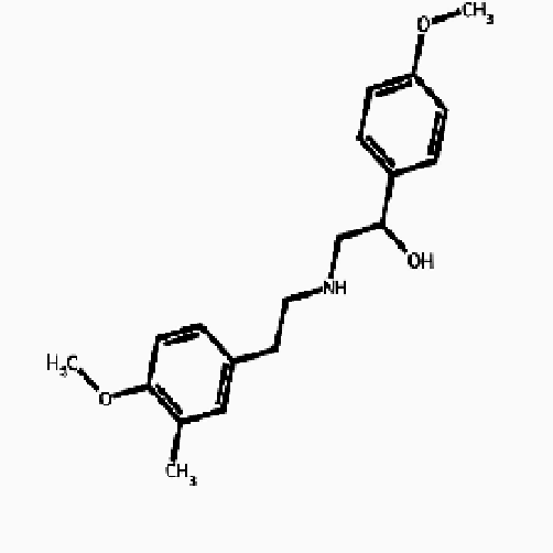 COc1ccc(C(O)CNCCc2ccc(OC)c(C)c2)cc1